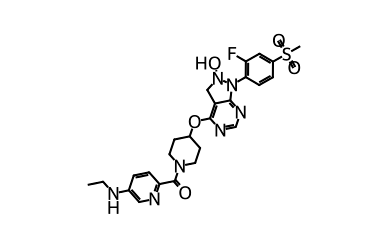 CCNc1ccc(C(=O)N2CCC(Oc3ncnc4c3CN(O)N4c3ccc(S(C)(=O)=O)cc3F)CC2)nc1